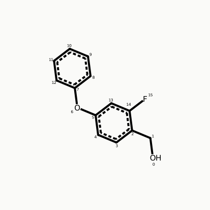 OCc1ccc(Oc2ccccc2)cc1F